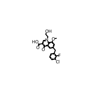 COc1cc(Cc2cccc(Cl)c2F)cc2c(=O)c(C(=O)O)cn(CCO)c12